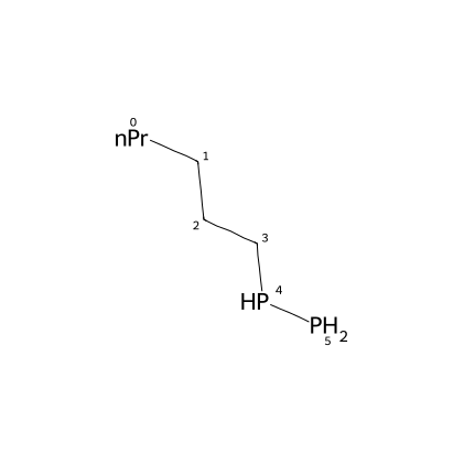 CCCCCCPP